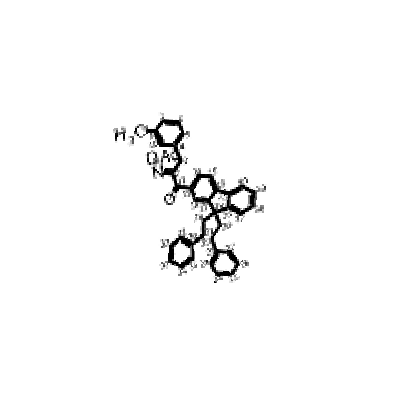 CC(=O)O/N=C(\Cc1cccc(C)c1)C(=O)c1ccc2c(c1)C(CCc1ccccc1)(CCc1ccccc1)c1ccccc1-2